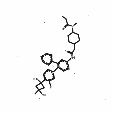 CCC(=O)N(C)C1CCC(CC(=O)Nc2cc(-c3ccccc3)c(-c3ccc(C4(N)CC(C)(O)C4)c(F)c3)cn2)CC1